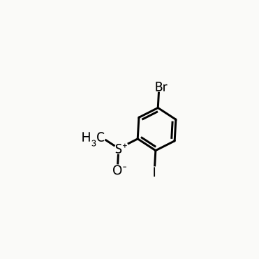 C[S+]([O-])c1cc(Br)ccc1I